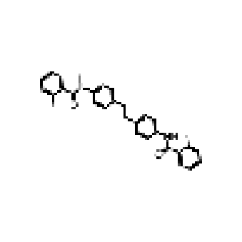 Cc1ccccc1C(=O)Nc1ccc(CCc2ccc(NC(=O)c3ccccc3C)cc2)cc1